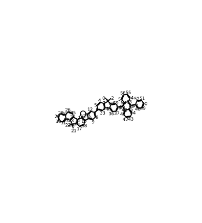 CC1(C)c2ccc(-c3ccc4c(c3)oc3c5c(ccc34)C(C)(C)c3c-5ccc4ccccc34)cc2-c2ccc(-c3c4ccccc4c(-c4ccccc4)c4ccccc34)cc21